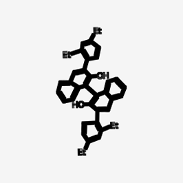 CCc1ccc(-c2cc3ccccc3c(-c3c(O)c(-c4ccc(CC)cc4CC)cc4ccccc34)c2O)c(CC)c1